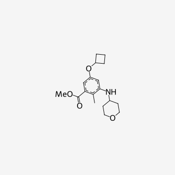 COC(=O)c1cc(OC2CCC2)cc(NC2CCOCC2)c1C